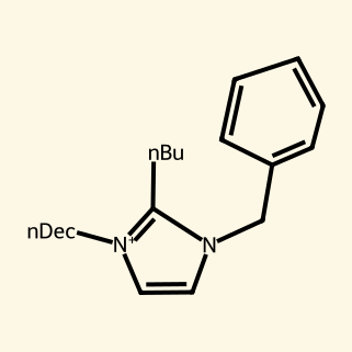 CCCCCCCCCC[n+]1ccn(Cc2ccccc2)c1CCCC